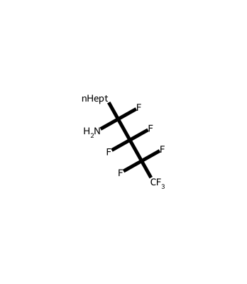 CCCCCCCC(N)(F)C(F)(F)C(F)(F)C(F)(F)F